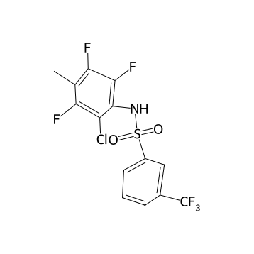 Cc1c(F)c(F)c(NS(=O)(=O)c2cccc(C(F)(F)F)c2)c(Cl)c1F